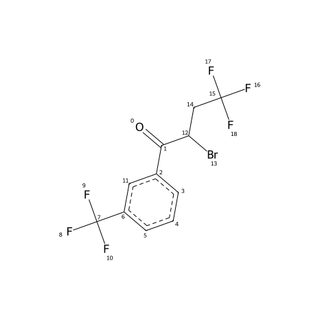 O=C(c1cccc(C(F)(F)F)c1)C(Br)CC(F)(F)F